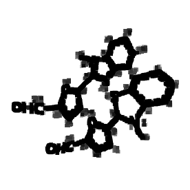 CN1c2ccccc2SC1c1ccc(C=O)o1.C[n+]1c(-c2ccc(C=O)o2)sc2ccccc21